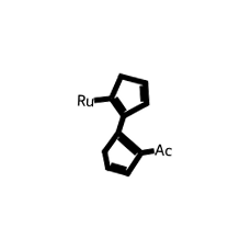 CC(=O)C1=C(C2=[C]([Ru])CC=C2)CC=C1